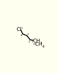 C.CCCCCl